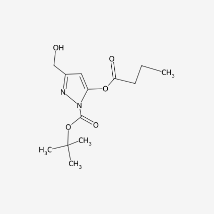 CCCC(=O)Oc1cc(CO)nn1C(=O)OC(C)(C)C